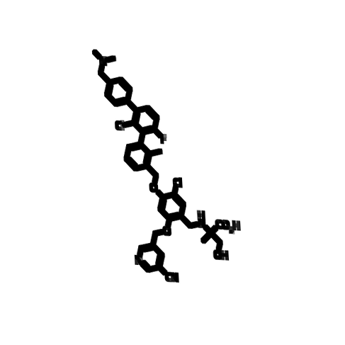 Cc1c(COc2cc(OCc3cncc(C#N)c3)c(CNC(C)(CO)C(=O)O)cc2Cl)cccc1-c1c(F)ccc(-c2ccc(CN(C)C)cc2)c1Cl